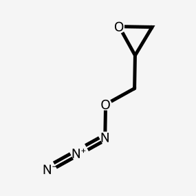 [N-]=[N+]=NOCC1CO1